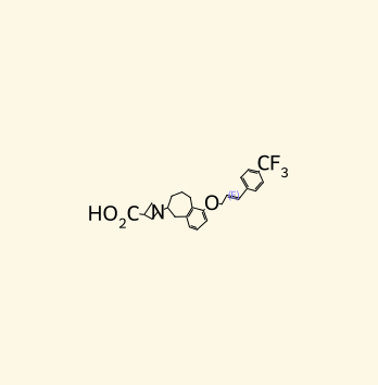 O=C(O)C1CN(C2CCCc3c(cccc3OC/C=C/c3ccc(C(F)(F)F)cc3)C2)C1